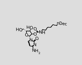 CCCCCCCCCCCCCCCCNC(=O)O[C@@H]1[C@H](O)[C@@H](CO)O[C@H]1n1ccc(N)nc1=O